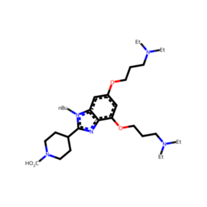 CCCCn1c(C2CCN(C(=O)O)CC2)nc2c(OCCCN(CC)CC)cc(OCCCN(CC)CC)cc21